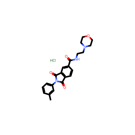 Cc1cccc(N2C(=O)c3ccc(C(=O)NCCN4CCOCC4)cc3C2=O)c1.Cl